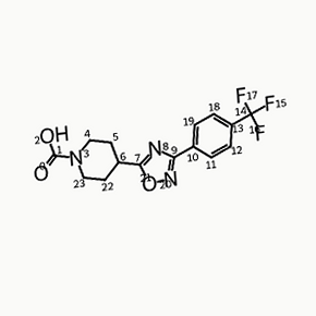 O=C(O)N1CCC(c2nc(-c3ccc(C(F)(F)F)cc3)no2)CC1